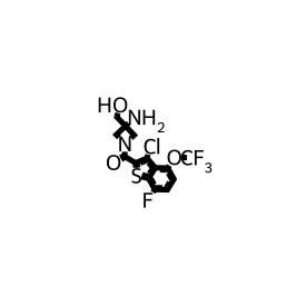 NC1(CO)CN(C(=O)c2sc3c(F)ccc(OC(F)(F)F)c3c2Cl)C1